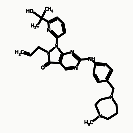 C=CCn1c(=O)c2cnc(Nc3ccc(CN4CCCN(C)CC4)cc3)nc2n1-c1cccc(C(C)(C)O)n1